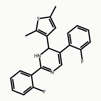 Cc1cc(C2NC(c3ccccc3F)=NC=C2c2ccccc2F)c(C)s1